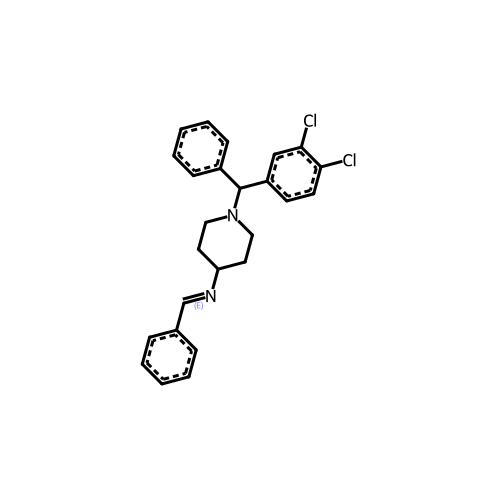 Clc1ccc(C(c2ccccc2)N2CCC(/N=C/c3ccccc3)CC2)cc1Cl